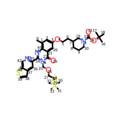 Cc1cc(OCCC2CCCN(C(=O)OC(C)(C)C)C2)cc2c(=O)n(COCC[SH](C)(C)(C)C)c(-c3cc4ccsc4cn3)nc12